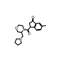 Cc1ccc2c(c1)C(=O)CC2C(=O)N1CCOCC1CN1CCCC1